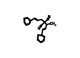 CC(/C=C/c1ccccc1)C(C#N)(C#N)C/C=C/c1ccccc1